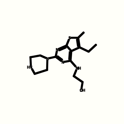 CCc1c(C)sc2nc(N3CCNCC3)nc(NCCO)c12